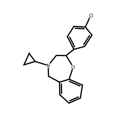 Clc1ccc(C2CN(C3CC3)Cc3ccccc3O2)cc1